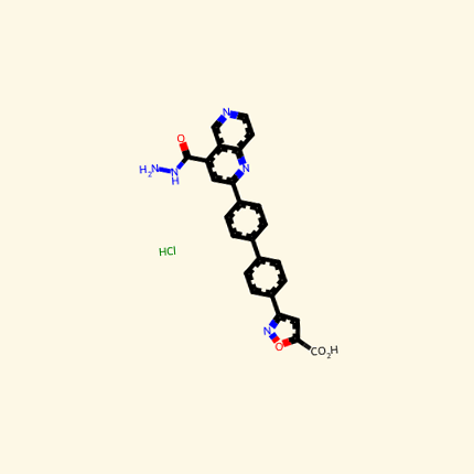 Cl.NNC(=O)c1cc(-c2ccc(-c3ccc(-c4cc(C(=O)O)on4)cc3)cc2)nc2ccncc12